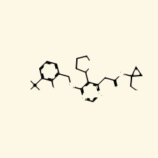 CC(F)(F)c1cccc(CNc2ncnc(CC(=O)NC3(CF)CC3)c2C2CCCO2)c1F